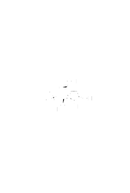 C[C@H]1C(O)C[C@@H](C(=O)O)N1C(=O)OC(C)(C)C